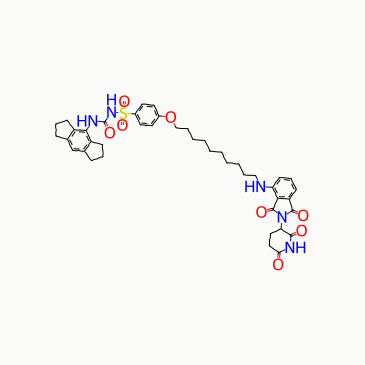 O=C1CCC(N2C(=O)c3cccc(NCCCCCCCCCCOc4ccc(S(=O)(=O)NC(=O)Nc5c6c(cc7c5CCC7)CCC6)cc4)c3C2=O)C(=O)N1